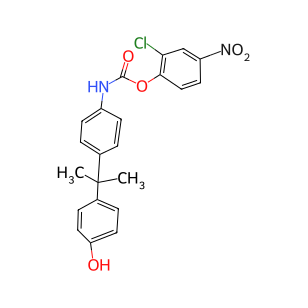 CC(C)(c1ccc(O)cc1)c1ccc(NC(=O)Oc2ccc([N+](=O)[O-])cc2Cl)cc1